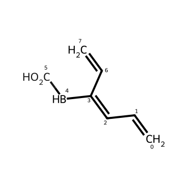 C=C/C=C(/BC(=O)O)C=C